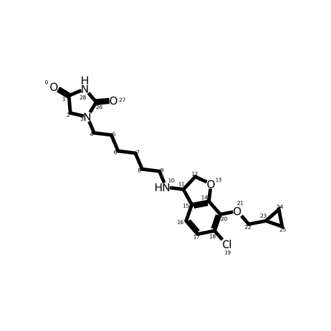 O=C1CN(CCCCCCNC2COc3c2ccc(Cl)c3OCC2CC2)C(=O)N1